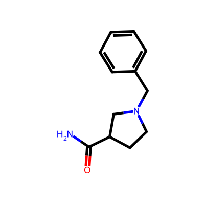 NC(=O)C1CCN(Cc2ccccc2)C1